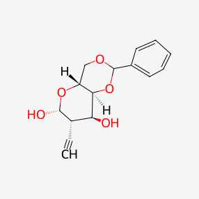 C#C[C@H]1[C@H](O)[C@@H]2OC(c3ccccc3)OC[C@H]2O[C@H]1O